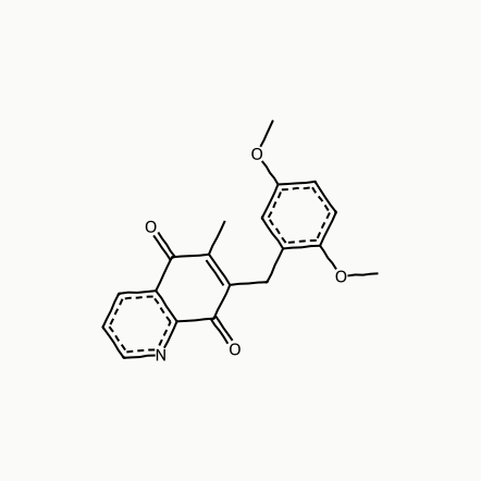 COc1ccc(OC)c(CC2=C(C)C(=O)c3cccnc3C2=O)c1